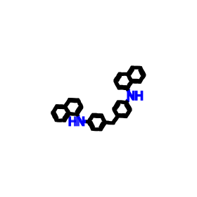 c1ccc2c(Nc3ccc(Cc4ccc(Nc5cccc6ccccc56)cc4)cc3)cccc2c1